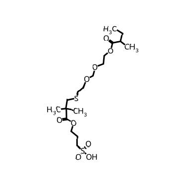 CCC(C)C(=O)OCCOCOCCSCC(C)(C)C(=O)OCCCS(=O)(=O)O